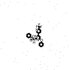 O=S(=O)(Nc1nc(Oc2ccccc2)cc(-c2ccc(C(F)(F)F)nc2)n1)c1ccccc1